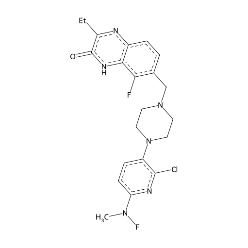 CCc1nc2ccc(CN3CCN(c4ccc(N(C)F)nc4Cl)CC3)c(F)c2[nH]c1=O